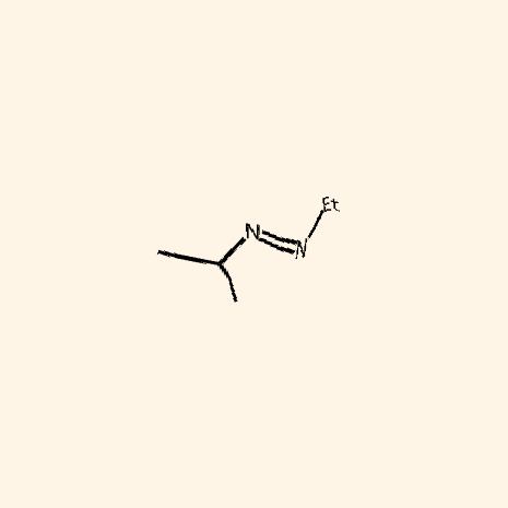 CCN=NC(C)C